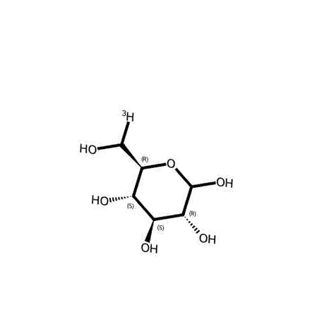 [3H]C(O)[C@H]1OC(O)[C@H](O)[C@@H](O)[C@@H]1O